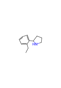 CCc1ccccc1C1CCCN1